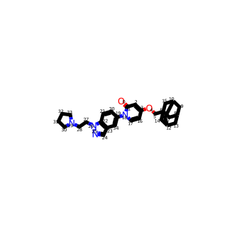 O=c1cc(OCC23CC4CC(CC(C4)C2)C3)ccn1-c1ccc2c(cnn2CCN2CCCC2)c1